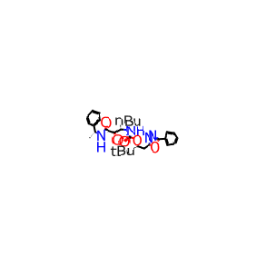 CCCC[C@H](NC(=O)O[C@H](Cc1nnc(-c2ccccc2)o1)C(C)(C)C)C(=O)C(=O)N[C@H](C)c1ccccc1